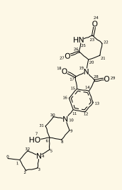 CC1CCN(CC2(O)CCN(c3ccc4c(c3)C(=O)N(C3CCC(=O)NC3=O)C4=O)CC2)C1